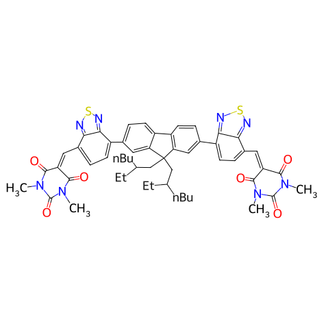 CCCCC(CC)CC1(CC(CC)CCCC)c2cc(-c3ccc(C=C4C(=O)N(C)C(=O)N(C)C4=O)c4nsnc34)ccc2-c2ccc(-c3ccc(C=C4C(=O)N(C)C(=O)N(C)C4=O)c4nsnc34)cc21